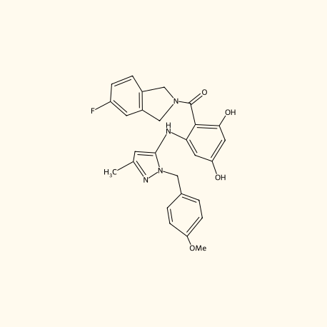 COc1ccc(Cn2nc(C)cc2Nc2cc(O)cc(O)c2C(=O)N2Cc3ccc(F)cc3C2)cc1